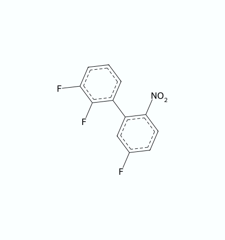 O=[N+]([O-])c1ccc(F)cc1-c1cccc(F)c1F